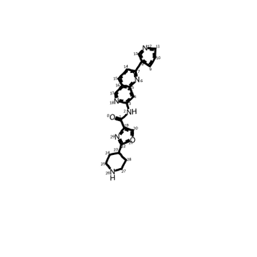 O=C(Nc1cc2nc(-c3cccnc3)ccc2cn1)c1coc(C2CCNCC2)n1